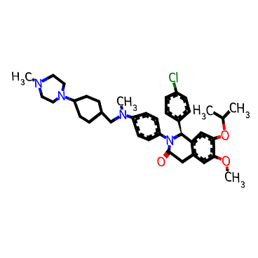 COc1cc2c(cc1OC(C)C)[C@H](c1ccc(Cl)cc1)N(c1ccc(N(C)CC3CCC(N4CCN(C)CC4)CC3)cc1)C(=O)C2